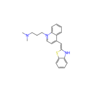 CN(C)CCC[n+]1ccc(/C=C2/Nc3ccccc3S2)c2ccccc21